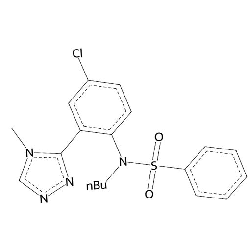 CCCCN(c1ccc(Cl)cc1-c1nncn1C)S(=O)(=O)c1ccccc1